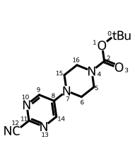 CC(C)(C)OC(=O)N1CCN(c2cnc(C#N)nc2)CC1